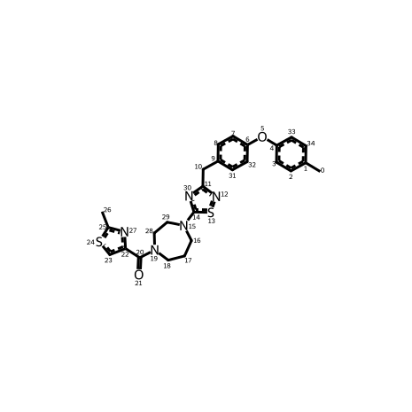 Cc1ccc(Oc2ccc(Cc3nsc(N4CCCN(C(=O)c5csc(C)n5)CC4)n3)cc2)cc1